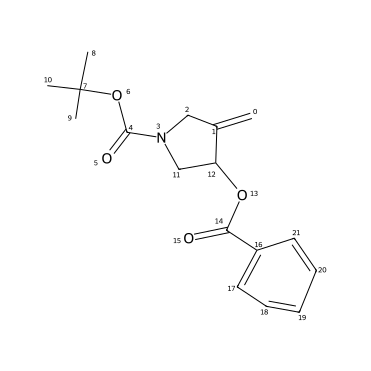 C=C1CN(C(=O)OC(C)(C)C)CC1OC(=O)c1ccccc1